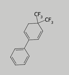 FC(F)(F)C1(C(F)(F)F)C=CC(c2ccccc2)=CC1